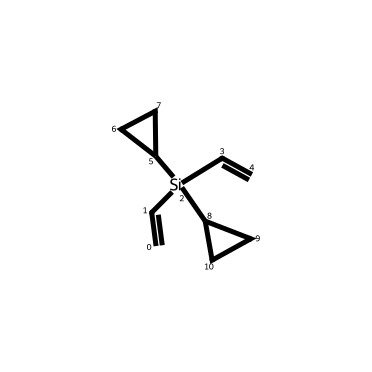 C=C[Si](C=C)(C1CC1)C1CC1